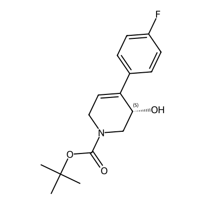 CC(C)(C)OC(=O)N1CC=C(c2ccc(F)cc2)[C@H](O)C1